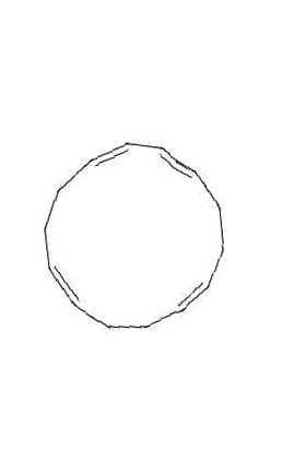 C1=CCCC=CCCC=CCCC=C1